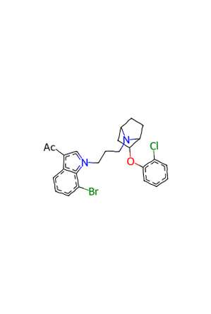 CC(=O)c1cn(CCCN2C3CCC2C(Oc2ccccc2Cl)C3)c2c(Br)cccc12